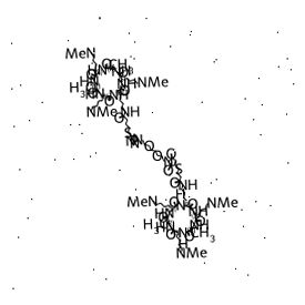 CNCCCC[C@@H]1NC(=O)[C@@H](C)NC(=O)[C@H](CCCCNC)NC(=O)[C@@H](CCCCNC(=O)CCCSc2cn(CCOCCOCCN3C(=O)C=C(SCCC(=O)NCCCC[C@H]4NC(=O)[C@H](CCCCNC)NC(=O)[C@@H](C)NC(=O)[C@H](CCCCNC)NC(=O)[C@@H](C)NC(=O)[C@H](CCCCNC)NC4=O)C3=O)nn2)NC(=O)[C@H](CCCCNC)NC(=O)[C@@H](C)NC1=O